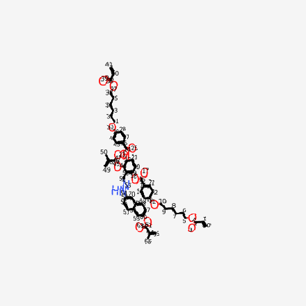 C=CC(=O)OCCCCCCOc1ccc(C(=O)Oc2ccc(OC(=O)c3ccc(OCCCCCCOC(=O)C=C)cc3)c(OC(O)C(=C)C)c2/C=N/Nc2ccc3cc(OC(=O)C(=C)C)ccc3c2)cc1